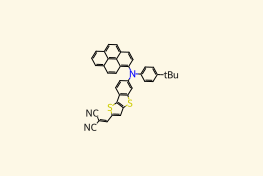 CC(C)(C)c1ccc(N(c2ccc3c(c2)sc2cc(C=C(C#N)C#N)sc23)c2ccc3ccc4cccc5ccc2c3c45)cc1